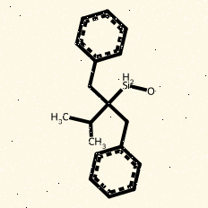 CC(C)C(Cc1ccccc1)(Cc1ccccc1)[SiH2][O]